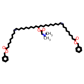 CN(C)CC(=O)OC(CCCCCCCC/C=C\CCCCCCCC(=O)OCc1ccccc1)CCCCCCCC/C=C\CCCCCCCC(=O)OCc1ccccc1